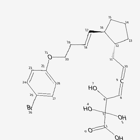 O=C(O)C(O)(O)C(O)C=C=CC[C@H]1CCC[C@@H]1/C=C/CCOc1ccc(Br)cc1